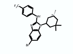 C[C@H]1CC(n2c(Nc3ccc(C(F)(F)F)cc3)nc3cc(Br)ccc32)CC(C)(C)C1